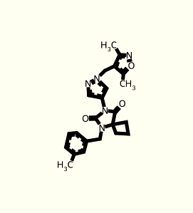 Cc1cccc(CN2C(=O)N(c3cnn(Cc4c(C)noc4C)c3)C(=O)C23CCC3)c1